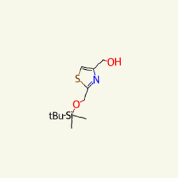 CC(C)(C)[Si](C)(C)OCc1nc(CO)cs1